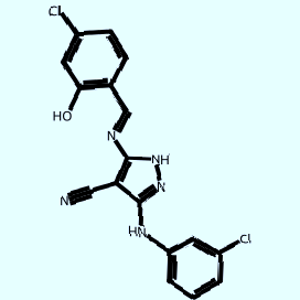 N#Cc1c(Nc2cccc(Cl)c2)n[nH]c1/N=C/c1ccc(Cl)cc1O